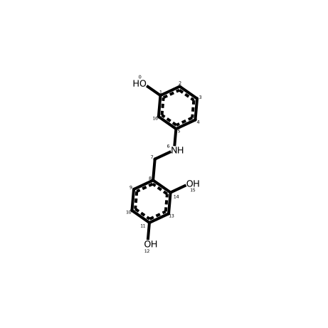 Oc1cccc(NCc2ccc(O)cc2O)c1